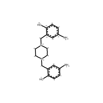 Nc1ccc(O)c(CN2CCN(Cc3cc(N)ccc3O)CC2)c1